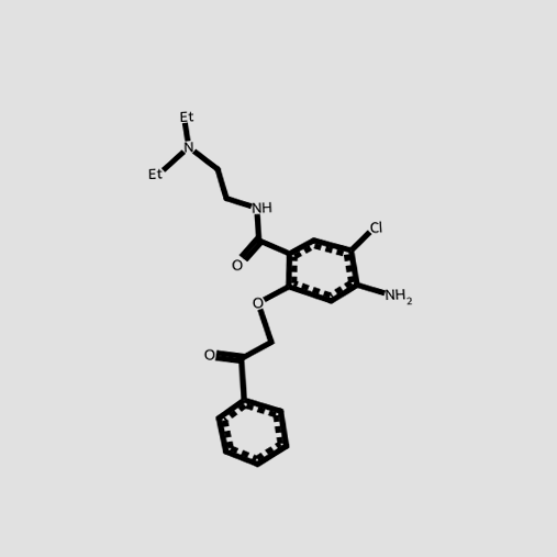 CCN(CC)CCNC(=O)c1cc(Cl)c(N)cc1OCC(=O)c1ccccc1